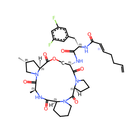 C=CCC/C=C/C(=O)N[C@@H](Cc1cc(F)cc(F)c1)C(=O)N[C@H]1COC(=O)[C@@H]2C[C@@H](C)CN2C(=O)[C@H](C)NC(=O)[C@@H]2CCCCN2C(=O)[C@@H]2CCCN2C1=O